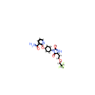 NC(=O)c1cccnc1O[C@H]1CC[C@H](N2C(=O)NC(CCOCC(F)(F)F)C2=O)CC1